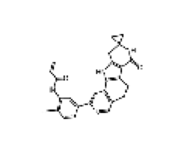 C=CC(=O)Nc1cc(-c2cc3c(cn2)CCc2c-3[nH]c3c2C(=O)NC2(CC2)C3)ccc1F